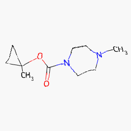 CN1CCN(C(=O)OC2(C)CC2)CC1